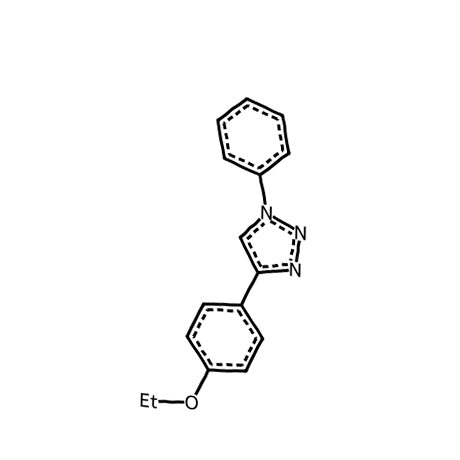 CCOc1ccc(-c2cn(-c3ccccc3)nn2)cc1